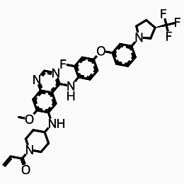 C=CC(=O)N1CCC(Nc2cc3c(Nc4ccc(Oc5cccc(N6CC[C@@H](C(F)(F)F)C6)c5)cc4F)ncnc3cc2OC)CC1